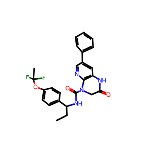 CCC(NC(=O)N1CC(=O)Nc2cc(-c3ccccc3)cnc21)c1ccc(OC(C)(F)F)cc1